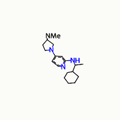 CN[C@@H]1CCN(c2ccnc(NC(C)C3CCCCC3)c2)C1